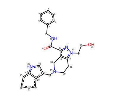 O=C(NCc1ccccc1)c1nn(CCO)c2c1CN(Cc1c[nH]c3ccccc13)CC2